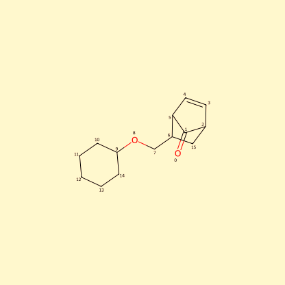 O=C1C2C=CC1C(COC1CCCCC1)C2